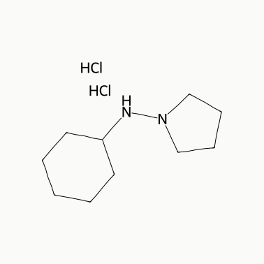 C1CCC(NN2CCCC2)CC1.Cl.Cl